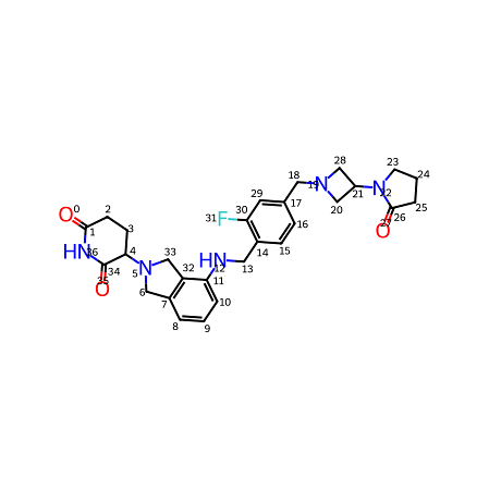 O=C1CCC(N2Cc3cccc(NCc4ccc(CN5CC(N6CCCC6=O)C5)cc4F)c3C2)C(=O)N1